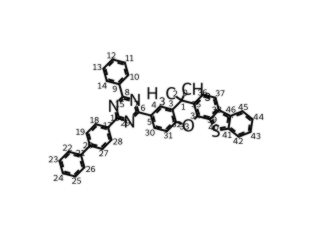 CC1(C)c2cc(-c3nc(-c4ccccc4)nc(-c4ccc(-c5ccccc5)cc4)n3)ccc2Oc2c1ccc1c2sc2ccccc21